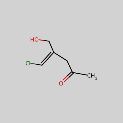 CC(=O)CC(=CCl)CO